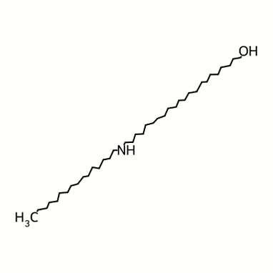 CCCCCCCCCCCCCCCCNCCCCCCCCCCCCCCCCCCCCCCO